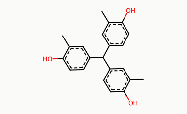 Cc1cc(C(c2ccc(O)c(C)c2)c2ccc(O)c(C)c2)ccc1O